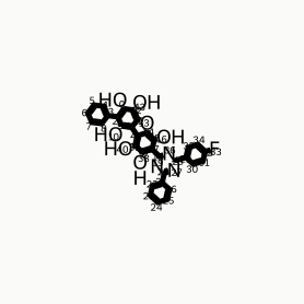 Oc1c(-c2ccccc2)c(O)c2c(oc3c(O)c(-c4nc(-c5ccccc5)nc(-c5ccc(F)cc5)n4)c(O)c(O)c32)c1O